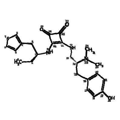 CC[C@@H](Cc1ccsc1)Nc1c(NC[C@@H](Cc2ccc(O)cc2)N(C)C)c(=O)c1=O